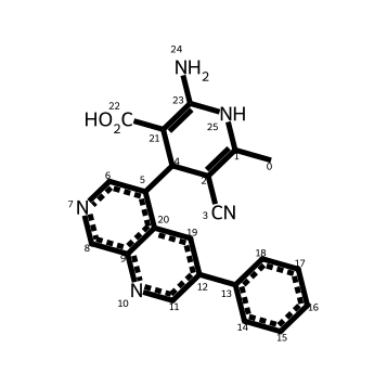 CC1=C(C#N)C(c2cncc3ncc(-c4ccccc4)cc23)C(C(=O)O)=C(N)N1